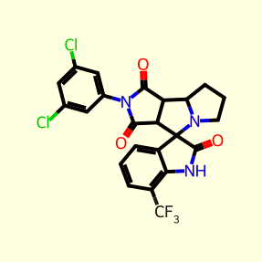 O=C1C2C3CCCN3C3(C(=O)Nc4c(C(F)(F)F)cccc43)C2C(=O)N1c1cc(Cl)cc(Cl)c1